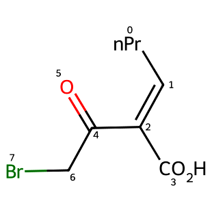 CCCC=C(C(=O)O)C(=O)CBr